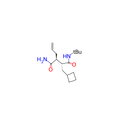 C=CC[C@H](C(N)=O)[C@@H](CC1CCC1)C(=O)NC(C)(C)C